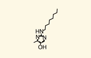 CCCCCCCCNc1ncc(O)c(C)n1